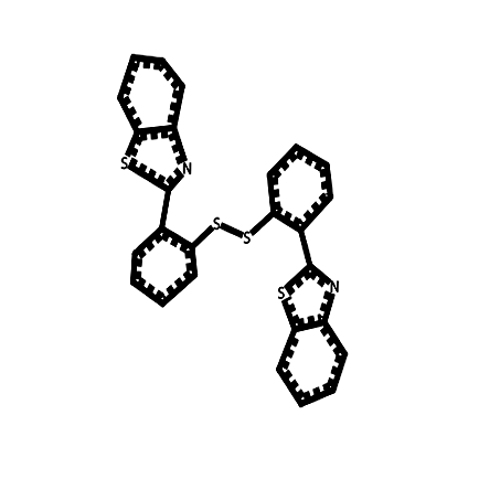 c1ccc(-c2nc3ccccc3s2)c(SSc2ccccc2-c2nc3ccccc3s2)c1